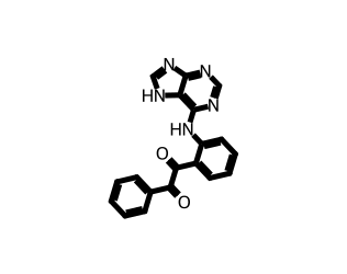 O=C(C(=O)c1ccccc1Nc1ncnc2nc[nH]c12)c1ccccc1